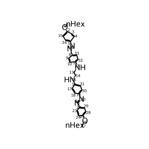 CCCCCCOc1ccc(/N=N/c2ccc(NCCNc3ccc(/N=N/c4ccc(OCCCCCC)cc4)cc3)cc2)cc1